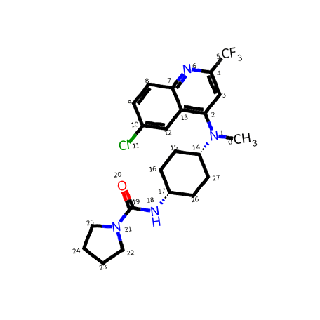 CN(c1cc(C(F)(F)F)nc2ccc(Cl)cc12)[C@H]1CC[C@@H](NC(=O)N2CCCC2)CC1